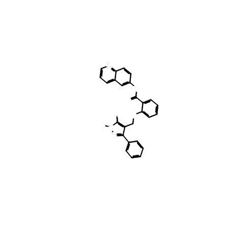 Cn1nc(-c2ccccc2)c(CSc2ccccc2C(=O)Nc2ccc3ncccc3c2)c1Cl